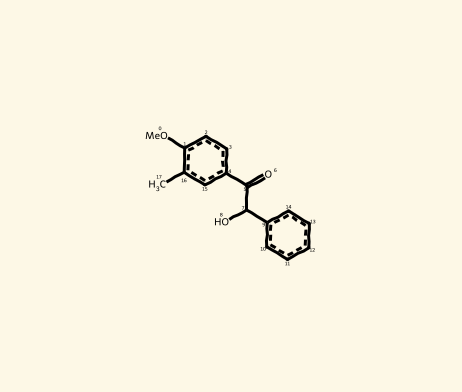 COc1ccc(C(=O)C(O)c2ccccc2)cc1C